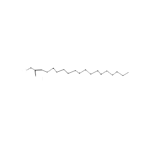 CCCCCCCCCCCCCCCCCC([SiH3])CCl